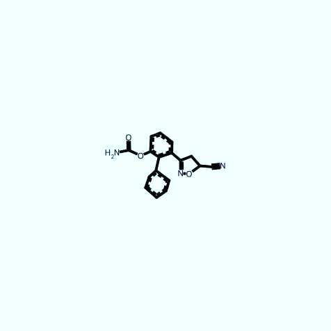 N#CC1CC(c2cccc(OC(N)=O)c2-c2ccccc2)=NO1